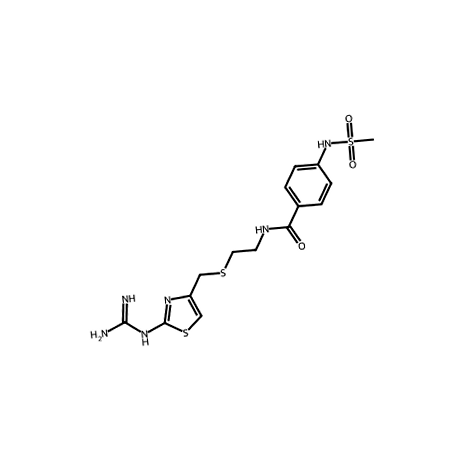 CS(=O)(=O)Nc1ccc(C(=O)NCCSCc2csc(NC(=N)N)n2)cc1